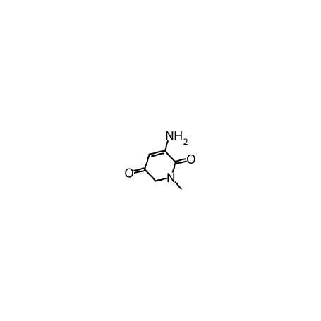 CN1CC(=O)C=C(N)C1=O